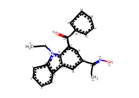 CCn1c2ccccc2c2cc(C(C)=NO)cc(C(=O)c3ccccc3)c21